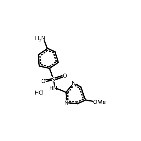 COc1cnc(NS(=O)(=O)c2ccc(N)cc2)nc1.Cl